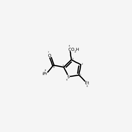 CCc1cc(C(=O)O)c(C(=O)C(C)C)s1